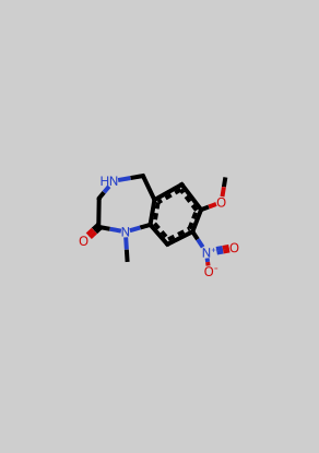 COc1cc2c(cc1[N+](=O)[O-])N(C)C(=O)CNC2